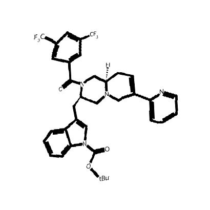 CC(C)(C)OC(=O)n1cc(C[C@@H]2CN3CC(c4ccccn4)=CC[C@@H]3CN2C(=O)c2cc(C(F)(F)F)cc(C(F)(F)F)c2)c2ccccc21